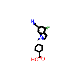 N#Cc1cc(F)c2ccn(C[C@H]3CC[C@H](C(=O)O)CC3)c2c1